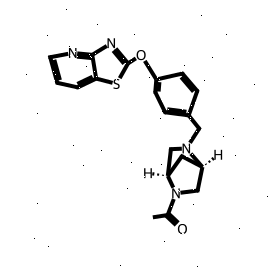 CC(=O)N1C[C@H]2C[C@@H]1CN2Cc1ccc(Oc2nc3ncccc3s2)cc1